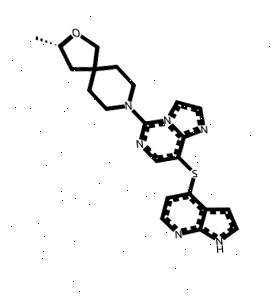 C[C@H]1CC2(CCN(c3ncc(Sc4ccnc5[nH]ccc45)c4nccn34)CC2)CO1